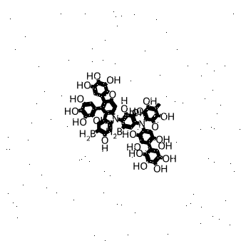 Bc1cc2c3c(-c4cc(O)c(O)c(O)c4O)c4c(cc3n(-c3c(B)cc(N5c6c(O)c(O)c(C)c(O)c6Oc6c(O)c(-c7c(O)c(O)c(O)c(O)c7O)c(O)c(O)c65)c(O)c3O)c2cc1O)oc1c(O)c(O)c(O)cc14